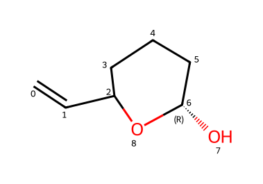 C=CC1CCC[C@H](O)O1